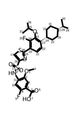 COc1cc(C(=O)O)c(F)cc1NS(=O)(=O)c1csc(-c2ccc([C@H]3CC[C@@H](C(C)C)CC3)c(OC(C)C)c2F)n1